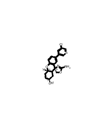 NC1=N[C@@]2(CO1)c1cc(-c3cncc(Cl)c3)ccc1O[C@H]1CC[C@H](O)CC12